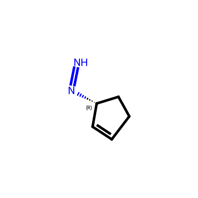 N=N[C@H]1C=CCC1